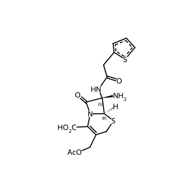 CC(=O)OCC1=C(C(=O)O)N2C(=O)[C@](N)(NC(=O)Cc3cccs3)[C@H]2SC1